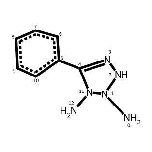 NN1NN=C(c2ccccc2)N1N